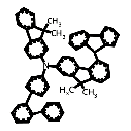 CC1(C)c2ccccc2-c2ccc(N(c3ccc(-c4ccccc4-c4ccccc4)cc3)c3ccc4c(c3)C(C)(C)c3cccc(C5c6ccccc6-c6ccccc65)c3-4)cc21